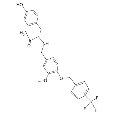 COc1cc(CN[C@@H](Cc2ccc(O)cc2)C(N)=O)ccc1OCc1ccc(C(F)(F)F)cc1